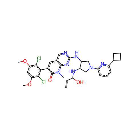 C=CC(O)NC1CN(c2cccc(C3CCC3)n2)CC1Nc1ncc2cc(-c3c(Cl)c(OC)cc(OC)c3Cl)c(=O)n(C)c2n1